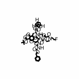 COc1c(C[C@H](NC(=O)C(NC(=O)N2CCN(CCF)C(=O)C2=O)c2nc(NC(=O)OCc3ccccc3)sc2Cl)B2O[C@@H]3C[C@@H]4C[C@@H](C4(C)C)[C@]3(C)O2)cccc1C(=O)OC(C)(C)C